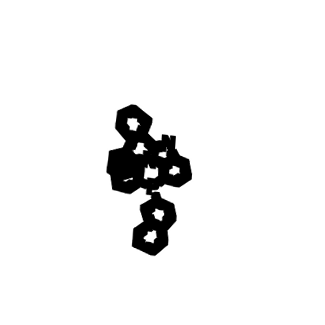 c1ccc(P(c2ccc3ccccc3c2)c2cccc3nc4c5ccccc5c5ccccc5n4c23)cc1